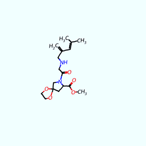 C=C(C=C(C)C)CNCC(=O)N1CC2(CC1C(=O)OC)OCCO2